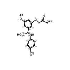 CCOc1cc(OCC(=O)CC(C)C)cc(C(Nc2ccc(C#N)cc2)C(=O)O)c1